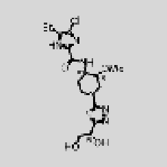 CCc1[nH]c(C(=O)N[C@@H]2CCN(c3nnc([C@H](O)CO)s3)C[C@@H]2OC)nc1Cl